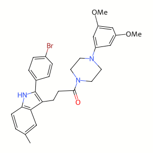 COc1cc(OC)cc(N2CCN(C(=O)CCc3c(-c4ccc(Br)cc4)[nH]c4ccc(C)cc34)CC2)c1